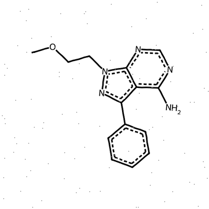 COCCn1nc(-c2ccccc2)c2c(N)ncnc21